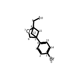 Brc1ccc(C23COC(CI)(C2)C3)cc1